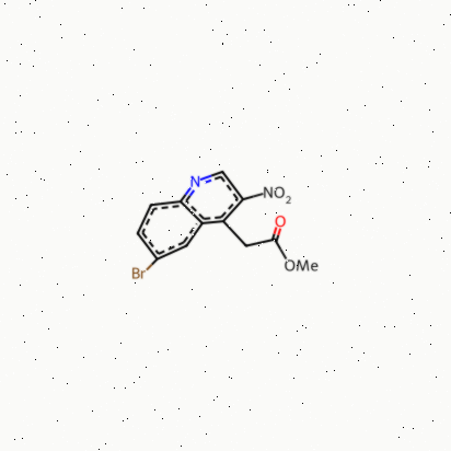 COC(=O)Cc1c([N+](=O)[O-])cnc2ccc(Br)cc12